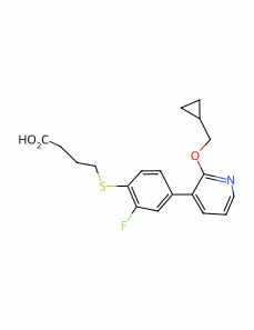 O=C(O)CCCSc1ccc(-c2cccnc2OCC2CC2)cc1F